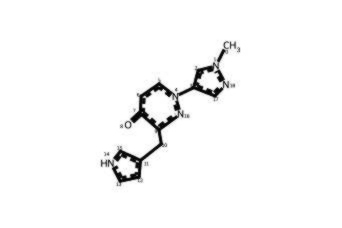 Cn1cc(-n2ccc(=O)c(Cc3cc[nH]c3)n2)cn1